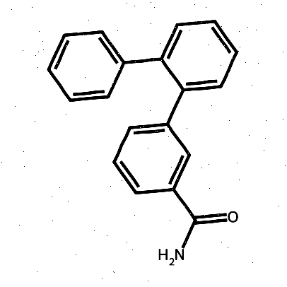 NC(=O)c1cccc(-c2ccccc2-c2ccccc2)c1